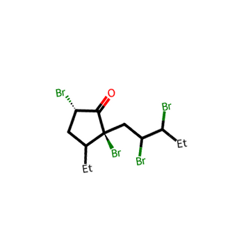 CCC(Br)C(Br)C[C@@]1(Br)C(=O)[C@@H](Br)CC1CC